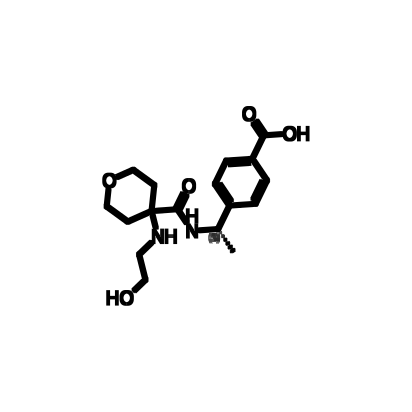 C[C@H](NC(=O)C1(NCCO)CCOCC1)c1ccc(C(=O)O)cc1